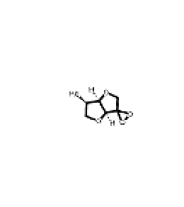 O[C@@H]1CO[C@H]2[C@@H]1OCC21OO1